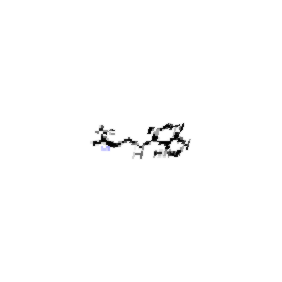 CC(=O)/C(C)=C\CNc1ncnc2nc[nH]c12